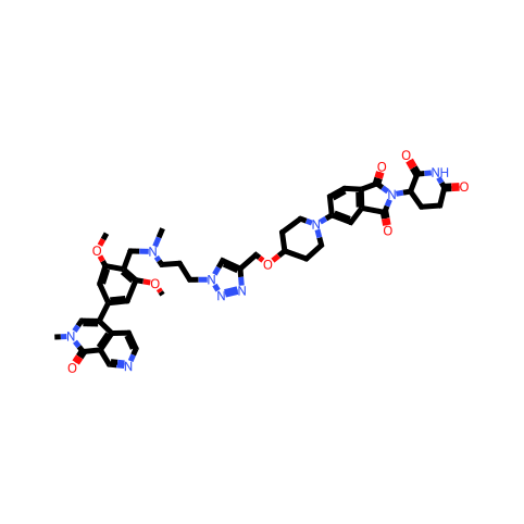 COc1cc(-c2cn(C)c(=O)c3cnccc23)cc(OC)c1CN(C)CCCn1cc(COC2CCN(c3ccc4c(c3)C(=O)N(C3CCC(=O)NC3=O)C4=O)CC2)nn1